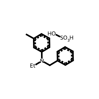 CCN(Cc1ccccc1)c1cccc(C)c1.O=S(=O)(O)O